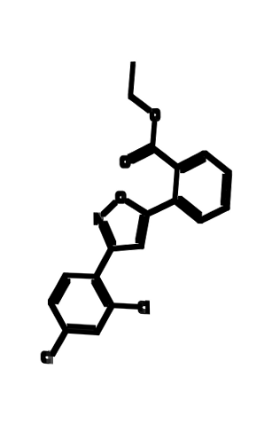 CCOC(=O)c1ccccc1-c1cc(-c2ccc(Cl)cc2Cl)no1